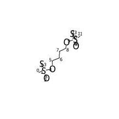 CS(=O)(=S)OCCCCOS(C)(=O)=S